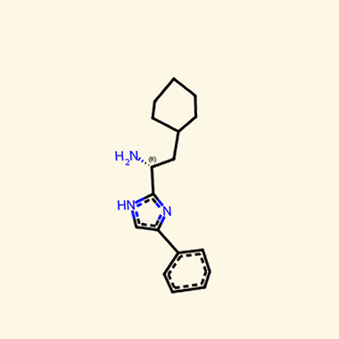 N[C@H](CC1CCCCC1)c1nc(-c2ccccc2)c[nH]1